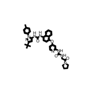 Cc1ccc(-n2nc(C(C)(C)C)cc2NC(=O)Nc2ccc(Oc3ccnc(NC(=O)NCC(=O)N4CCCC4)c3)c3ccccc23)cc1